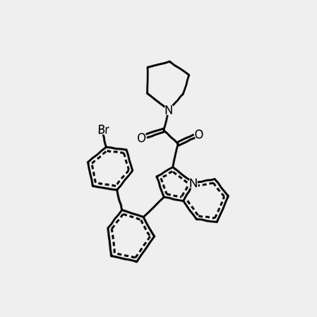 O=C(C(=O)N1CCCCC1)c1cc(-c2ccccc2-c2ccc(Br)cc2)c2ccccn12